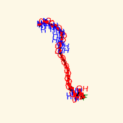 Cc1cc(F)cc(C)c1Oc1ccc(C(C)(C)O)cc1-c1cn(C)c(=O)c2[nH]c(C(=O)Nc3ccc(OCCOCCOCCOCCOCCOCCOCCOCCOCCNC(=O)CCNC(=O)c4nc(NC(=O)CCNC(=O)c5cc(NC(=O)c6nc(NC(=O)CCNC(=O)c7cc(NC(=O)c8nccn8C)cn7C)cn6C)cn5C)cn4C)cc3)cc12